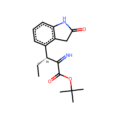 CC[C@@H](C(=N)C(=O)OC(C)(C)C)c1cccc2c1CC(=O)N2